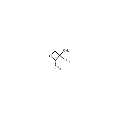 C[C@@H]1OCC1(C)C